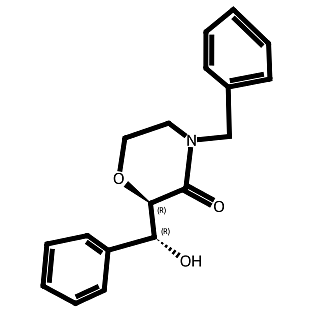 O=C1[C@@H]([C@H](O)c2ccccc2)OCCN1Cc1ccccc1